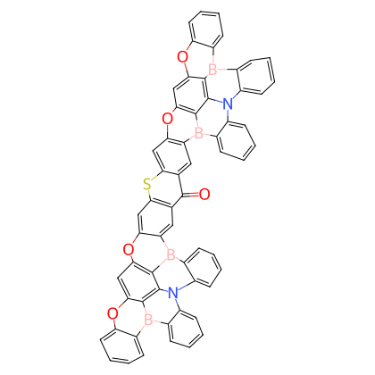 O=c1c2cc3c(cc2sc2cc4c(cc12)B1c2ccccc2N2c5ccccc5B5c6ccccc6Oc6cc(c1c2c65)O4)Oc1cc2c4c5c1B3c1ccccc1N5c1ccccc1B4c1ccccc1O2